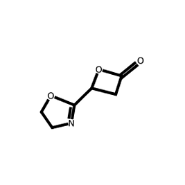 O=C1CC(C2=NCCO2)O1